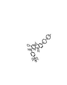 COc1cc(N2CCC(N3CCN(C)CC3)CC2)ccc1Nc1ncc(Cl)c(Nc2ccc(P(=O)(OC)OC)cc2)n1